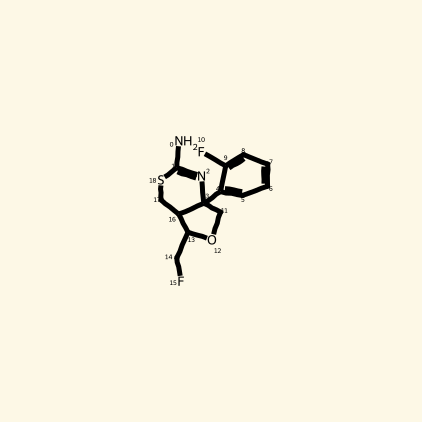 NC1=NC2(c3ccccc3F)COC(CF)C2CS1